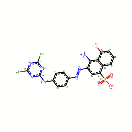 Nc1c(N=Nc2ccc(Nc3nc(F)nc(F)n3)cc2)cc(S(=O)(=O)O)c2cccc(O)c12